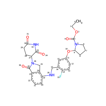 CCOC(=O)N1CCCC1Oc1ccc(F)c(CNc2cccc3c2CN(C2CCC(=O)NC2=O)C3=O)c1